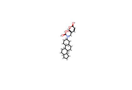 O=C(O)N(Cc1ccc(=O)oc1)C1CCC2C(CCC3C4CCCC4CCC23)C1